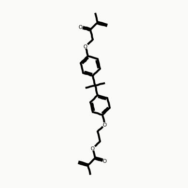 C=C(C)C(=O)COc1ccc(C(C)(C)c2ccc(OCCOC(=O)C(=C)C)cc2)cc1